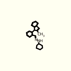 CC1=Cc2ccccc2C1c1ccccc1/C=N/NC1CCCCC1